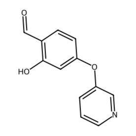 O=Cc1ccc(Oc2cccnc2)cc1O